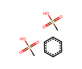 CS(=O)(=O)O.CS(=O)(=O)O.c1ccccc1